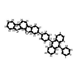 c1ccc(-c2c3ccccc3c(-c3ccc(-c4ccc5c(c4)oc4c5ccc5c6ccccc6sc54)cc3)c3ccccc23)cc1